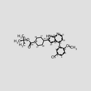 COc1ccc(Cl)cc1-c1ccnc2[nH]c(C3CCN(C(=O)OC(C)(C)C)CC3)cc12